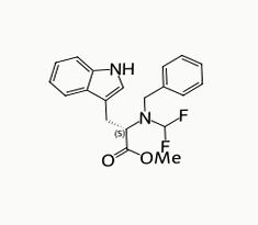 COC(=O)[C@H](Cc1c[nH]c2ccccc12)N(Cc1ccccc1)C(F)F